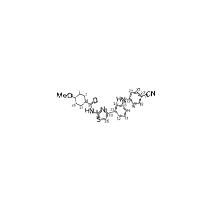 COC1CCC(C(=O)Nc2nc(-c3cccc(Nc4ccc(C#N)cc4)c3)cs2)CC1